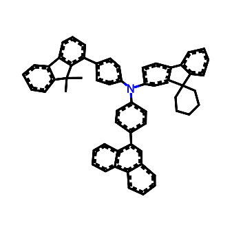 CC1(C)c2ccccc2-c2cccc(-c3ccc(N(c4ccc(-c5cc6ccccc6c6ccccc56)cc4)c4ccc5c(c4)C4(CCCCC4)c4ccccc4-5)cc3)c21